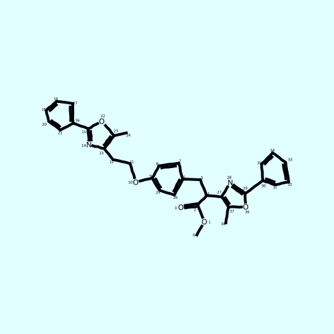 COC(=O)C(Cc1ccc(OCCc2nc(-c3ccccc3)oc2C)cc1)c1nc(-c2ccccc2)oc1C